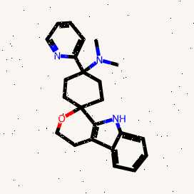 CN(C)C1(c2ccccn2)CCC2(CC1)OCCc1c2[nH]c2ccccc12